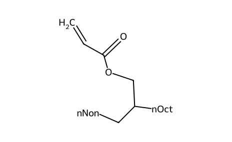 C=CC(=O)OCC(CCCCCCCC)CCCCCCCCCC